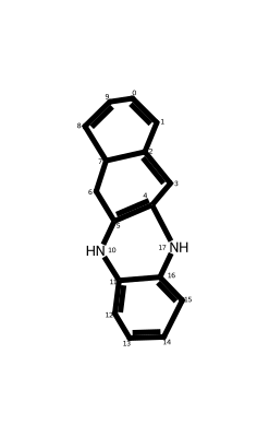 C1=CC2=CC3=C(CC2C=C1)Nc1ccccc1N3